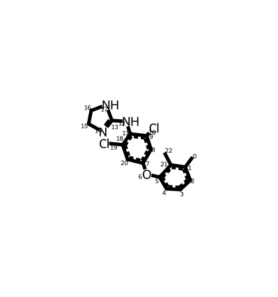 Cc1cccc(Oc2cc(Cl)c(NC3=NCCN3)c(Cl)c2)c1C